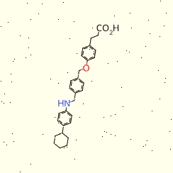 O=C(O)CCc1ccc(OCc2ccc(CNc3ccc(C4CCCCC4)cc3)cc2)cc1